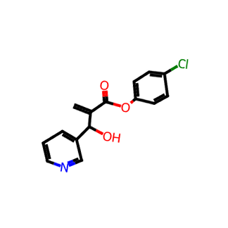 C=C(C(=O)Oc1ccc(Cl)cc1)C(O)c1cccnc1